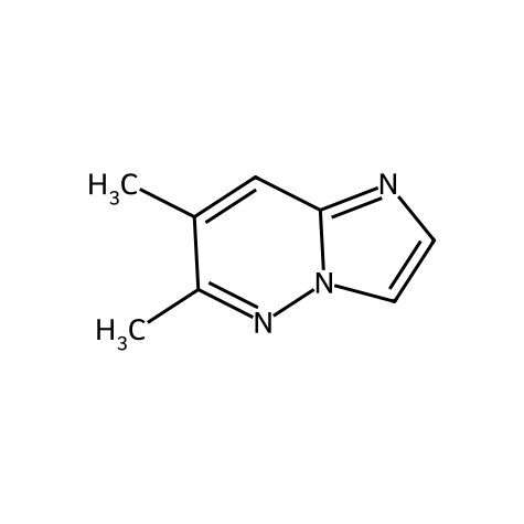 Cc1cc2nccn2nc1C